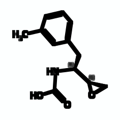 Cc1cccc(C[C@H](NC(=O)O)[C@H]2CO2)c1